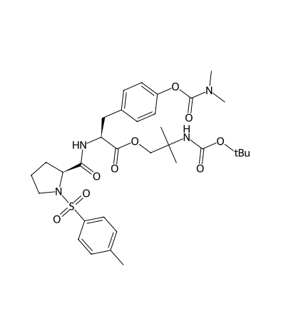 Cc1ccc(S(=O)(=O)N2CCC[C@H]2C(=O)N[C@@H](Cc2ccc(OC(=O)N(C)C)cc2)C(=O)OCC(C)(C)NC(=O)OC(C)(C)C)cc1